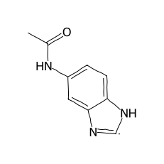 CC(=O)Nc1ccc2[nH][c]nc2c1